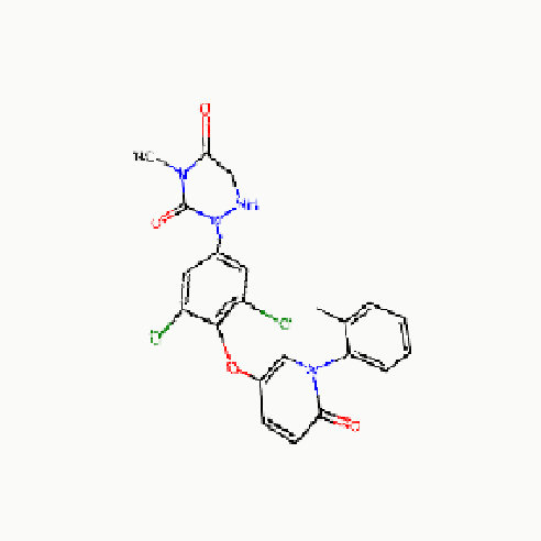 Cc1ccccc1-n1cc(Oc2c(Cl)cc(N3NCC(=O)N(C#N)C3=O)cc2Cl)ccc1=O